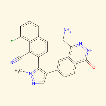 Cn1ncc(-c2ccc3c(=O)[nH]nc(CN)c3c2)c1-c1ccc2cccc(F)c2c1C#N